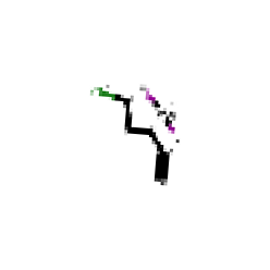 [C]#CCCCCl.[I][Mg][I]